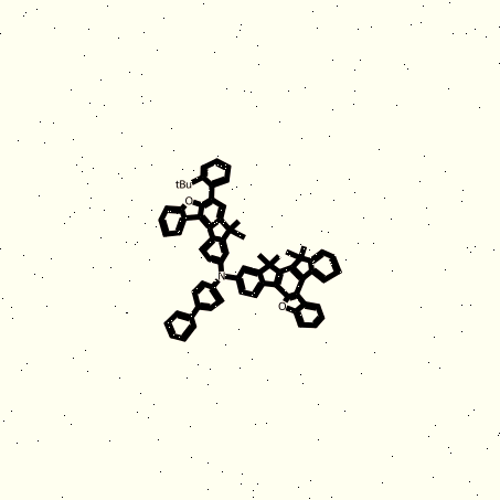 CC(C)(C)c1ccccc1-c1cc2c(c3c1oc1ccccc13)-c1ccc(N(c3ccc(-c4ccccc4)cc3)c3ccc4c(c3)C(C)(C)c3c5c(c6c(oc7ccccc76)c3-4)-c3ccccc3C5(C)C)cc1C2(C)C